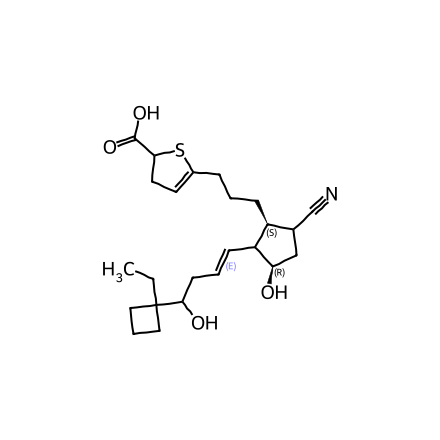 CCC1(C(O)C/C=C/C2[C@@H](CCCC3=CCC(C(=O)O)S3)C(C#N)C[C@H]2O)CCC1